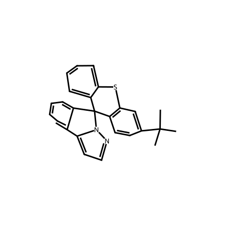 CC(C)(C)c1ccc2c(c1)Sc1ccccc1C21c2ccccc2-c2ccnn21